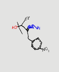 CCC(C(=N)Cc1ccc([N+](=O)[O-])cc1)C(C)(C)O